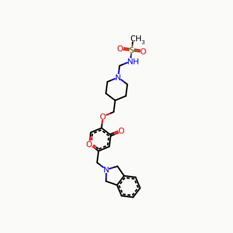 CS(=O)(=O)NCN1CCC(COc2coc(CN3Cc4ccccc4C3)cc2=O)CC1